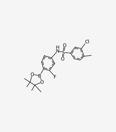 Cc1ccc(S(=O)(=O)Nc2ccc(B3OC(C)(C)C(C)(C)O3)c(F)c2)cc1Cl